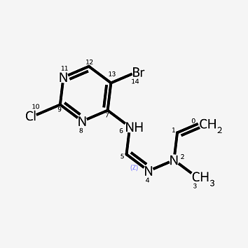 C=CN(C)/N=C\Nc1nc(Cl)ncc1Br